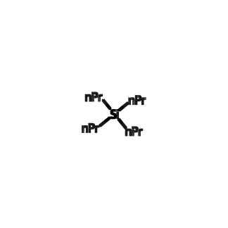 [CH2]CC[Si](CCC)(CCC)CCC